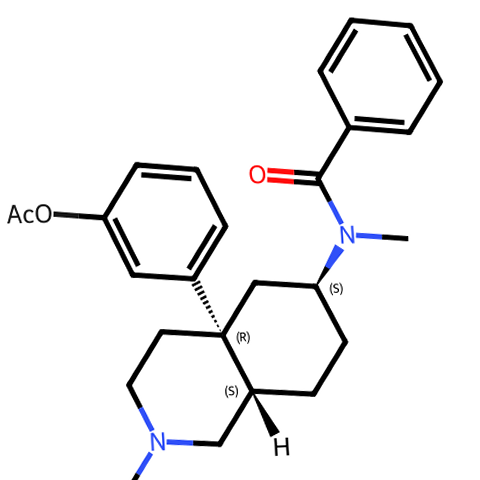 CC(=O)Oc1cccc([C@@]23CCN(C)C[C@H]2CC[C@H](N(C)C(=O)c2ccccc2)C3)c1